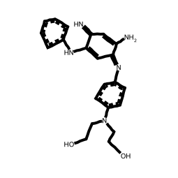 N=C1C=C(N)C(=Nc2ccc(N(CCO)CCO)cc2)C=C1Nc1ccccc1